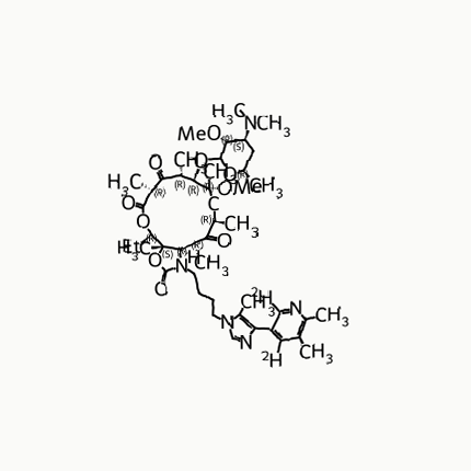 [2H]c1nc(C)c(C)c([2H])c1-c1ncn(CCCCN2C(=O)O[C@]3(C)[C@@H](CC)OC(=O)[C@H](C)C(=O)[C@H](C)[C@@H](OC4O[C@H](C)C[C@H](N(C)C)[C@H]4OC)[C@](C)(OC)C[C@@H](C)C(=O)[C@H](C)[C@@H]23)c1C